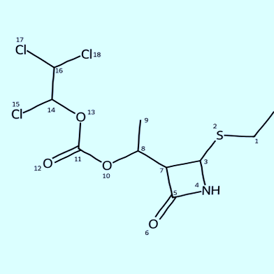 CCSC1NC(=O)C1C(C)OC(=O)OC(Cl)C(Cl)Cl